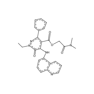 CCn1nc(-c2ccccc2)c(C(=O)OCC(=O)N(C)C)c(Nc2cccc3ncccc23)c1=O